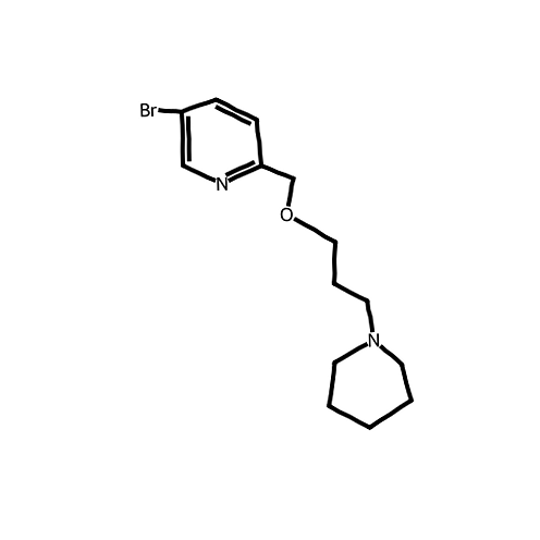 Brc1ccc(COCCCN2CCCCC2)nc1